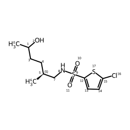 CC(O)CC[C@H](C)CNS(=O)(=O)c1ccc(Cl)s1